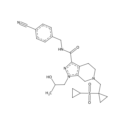 CC(O)Cn1nc(C(=O)NCc2ccc(C#N)cc2)c2c1CN(CC1(S(=O)(=O)C3CC3)CC1)CC2